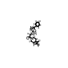 C[C@H](Nc1nnc(-c2ccccc2)o1)C(=O)N1CCC2(CC1)CC2(F)F